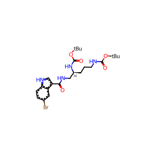 CC(C)(C)OC(=O)NCCC[C@@H](CNC(=O)c1c[nH]c2ccc(Br)cc12)NC(=O)OC(C)(C)C